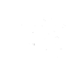 CCOc1cc2ncc(C#N)c(Nc3ccc(F)c(Cl)c3)c2cc1NC(C)=O